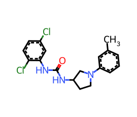 Cc1cccc(N2CCC(NC(=O)Nc3cc(Cl)ccc3Cl)C2)c1